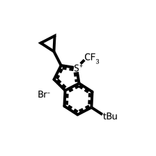 CC(C)(C)c1ccc2cc(C3CC3)[s+](C(F)(F)F)c2c1.[Br-]